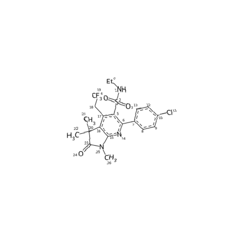 CCNS(=O)(=O)c1c(-c2ccc(Cl)cc2)nc2c(c1CC(F)(F)F)C(C)(C)C(=O)N2C